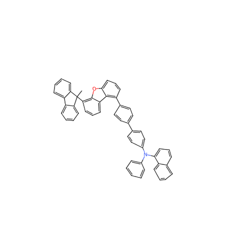 CC1(c2cccc3c2oc2cccc(-c4ccc(-c5ccc(N(c6ccccc6)c6cccc7ccccc67)cc5)cc4)c23)c2ccccc2-c2ccccc21